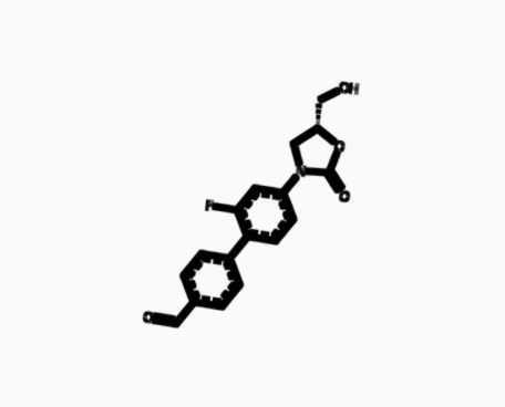 O=Cc1ccc(-c2ccc(N3C[C@H](CO)OC3=O)cc2F)cc1